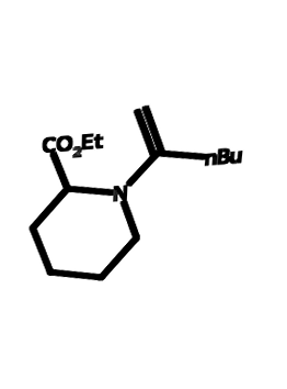 C=C(CCCC)N1CCCCC1C(=O)OCC